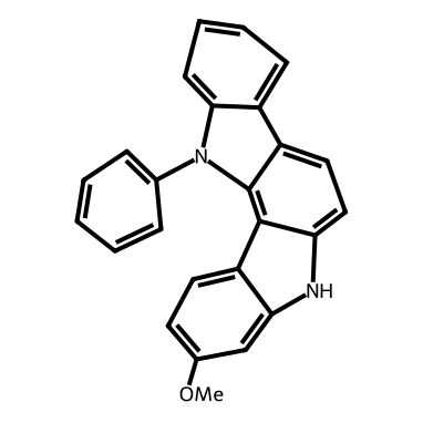 COc1ccc2c(c1)[nH]c1ccc3c4ccccc4n(-c4ccccc4)c3c12